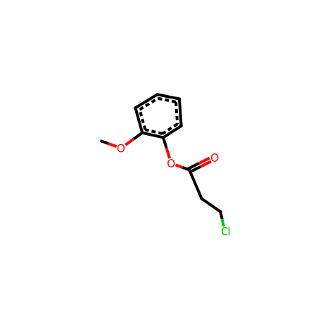 COc1ccccc1OC(=O)CCCl